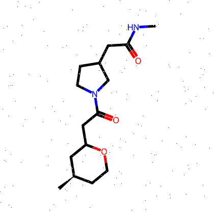 CNC(=O)CC1CCN(C(=O)CC2C[C@H](C)CCO2)C1